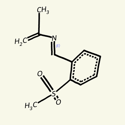 C=C(C)/N=C/c1ccccc1S(C)(=O)=O